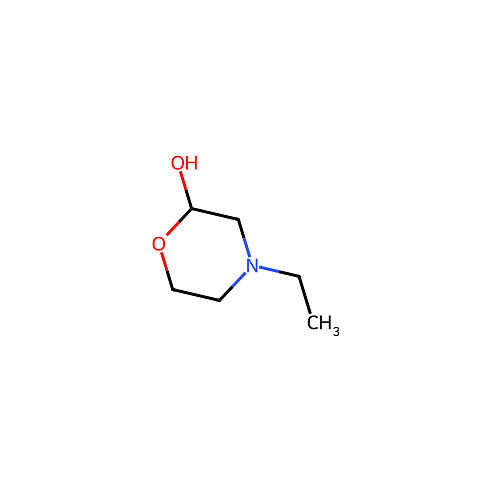 CCN1CCOC(O)C1